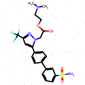 CN(C)CCOC(O)Cn1nc(C(F)(F)F)cc1-c1ccc(-c2cccc(S(N)(=O)=O)c2)cc1